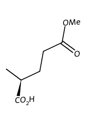 COC(=O)CC[C@H](C)C(=O)O